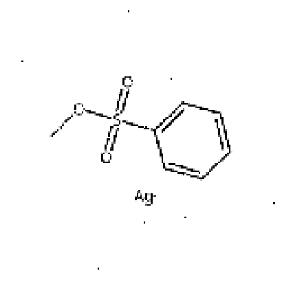 COS(=O)(=O)c1ccccc1.[Ag]